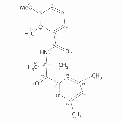 COc1cccc(C(=O)NC(C)(C)C(=O)c2cc(C)cc(C)c2)c1C